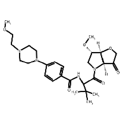 COCCN1CCN(c2ccc(C(=O)NC(C(=O)N3C[C@H](OC)[C@H]4OCC(=O)[C@H]43)C(C)(C)C)cc2)CC1